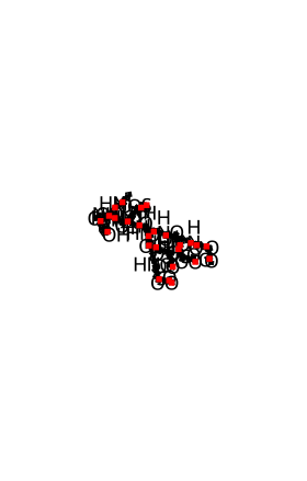 CCCCC(=O)NCCCC[C@H](NC(=O)CNC(=O)[C@H](CCCCNC(=O)[C@H](CCCCNC(=O)CNC(=O)C(CCCCNC(=O)CCCC(=O)SCC(=O)OC)NC(=O)CCCC(=O)SCC(=O)OC)NC(=O)CNC(=O)[C@H](CCCCNC(=O)CCCC(=O)SCC(=O)OC)NC(=O)CCCC(=O)SCC(=O)OC)NC(=O)CNC(=O)[C@@H]1CSCN1)C(=O)NC(Cc1ccc(O)cc1)C(N)=O